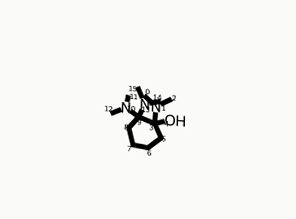 CN(C)C1(O)CCCCC1(N(C)C)N(C)C